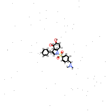 CN(C)Cc1ccc(S(=O)(=O)n2cc(-c3ccccc3)c3c2C=CC(=O)C3=O)cc1